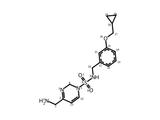 NCC1=NCN(S(=O)(=O)NCc2cccc(OCC3CC3)c2)C=C1